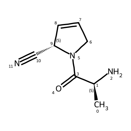 C[C@H](N)C(=O)N1CC=C[C@H]1C#N